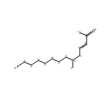 CN(C/C=C/C(=O)I)CCCCCCCI